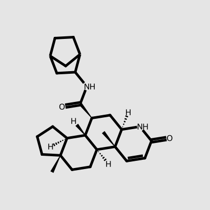 C[C@@]12CCC[C@H]1[C@@H]1[C@@H](C(=O)NC3CC4CCC3C4)C[C@H]3NC(=O)C=C[C@]3(C)[C@H]1CC2